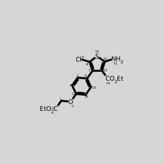 CCOC(=O)COc1ccc(-c2c(Cl)sc(N)c2C(=O)OCC)cc1